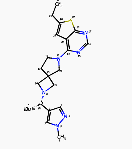 CC[C@@H](C)[C@@H](c1cnn(C)c1)N1CC2(CCN(c3ncnc4sc(CC(F)(F)F)cc34)C2)C1